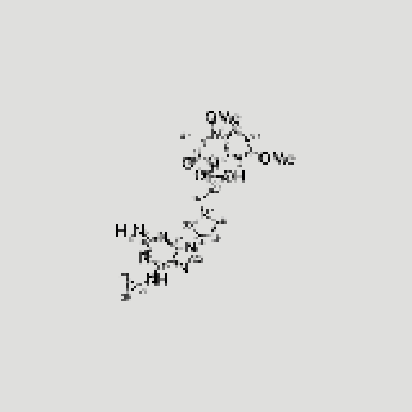 COc1ccc(N(OC)[C@@H](C)C(=O)OP(=O)(O)OCC2C=C[C@H](n3cnc4c(NC5CC5)nc(N)nc43)C2)cc1